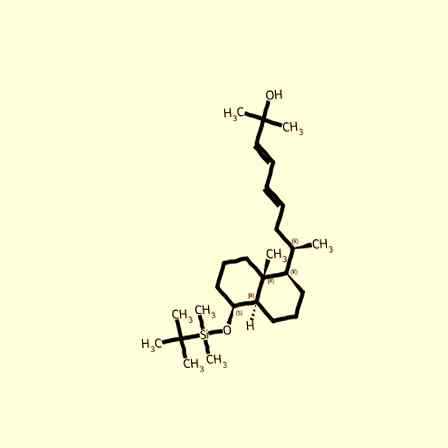 C[C@H](CC=CC=CC(C)(C)O)[C@H]1CCC[C@H]2[C@@H](O[Si](C)(C)C(C)(C)C)CCC[C@]12C